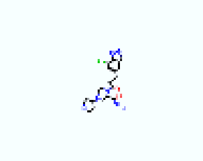 NC(=O)C1CN(C2CCNCC2)CCN1C(=O)[CH]Cc1cc(Cl)c2[nH]ncc2c1